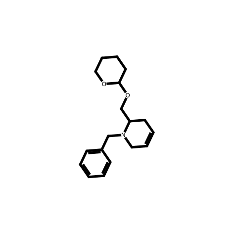 C1=CCN(Cc2ccccc2)C(COC2CCCCO2)C1